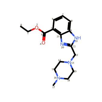 CCOC(=O)c1cccc2[nH]c(CN3CCN(C)CC3)nc12